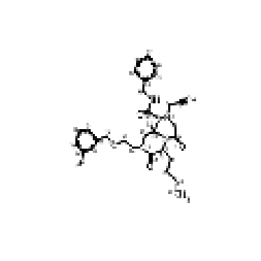 C#CCN1CC(=O)N2[C@@H](CCCC)C(=O)N(CCOCc3cccc(F)c3)C[C@@H]2N1C(=O)NCc1ccccc1